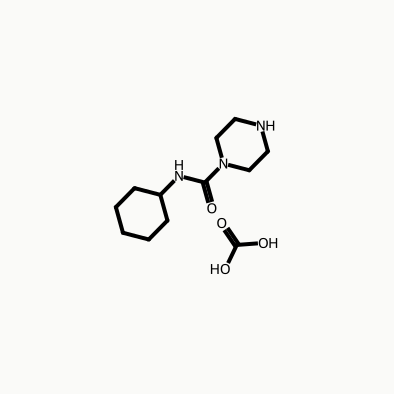 O=C(NC1CCCCC1)N1CCNCC1.O=C(O)O